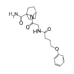 NC(=O)C12CCC(CC1)N2C(=O)CNC(=O)CCCOc1ccccc1